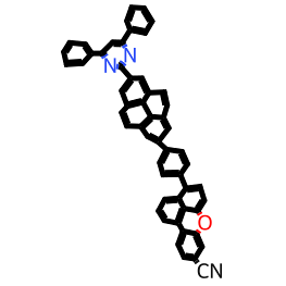 N#Cc1ccc2c(c1)Oc1ccc(-c3ccc(-c4cc5ccc6cc(-c7nc(-c8ccccc8)cc(-c8ccccc8)n7)cc7ccc(c4)c5c67)cc3)c3cccc-2c13